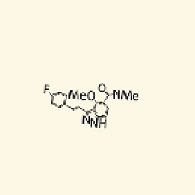 CNC(=O)c1ccc2[nH]nc(C=Cc3ccc(F)cc3)c2c1OC